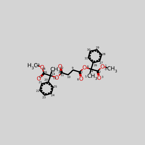 COC(=O)C(C)(OC(=O)CCC(=O)OC(C)(C(=O)OC)c1ccccc1)c1ccccc1